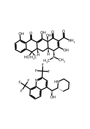 CN(C)[C@@H]1C(O)=C(C(N)=O)C(=O)[C@@]2(O)C(O)=C3C(=O)c4c(O)cccc4[C@@](C)(O)[C@H]3C[C@@H]12.O[C@@H](c1cc(C(F)(F)F)nc2c(C(F)(F)F)cccc12)[C@H]1CCCCN1